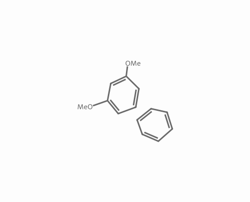 COc1cccc(OC)c1.c1ccccc1